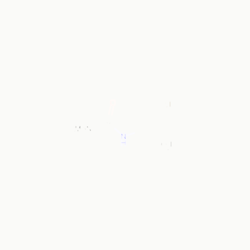 CNC(=O)NC(CS)C(=O)O